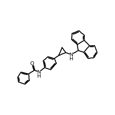 O=C(Nc1ccc(C2CC2NC2c3ccccc3-c3ccccc32)cc1)c1ccccc1